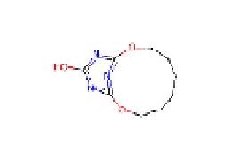 Oc1nc2nc(n1)OCCCCCCO2